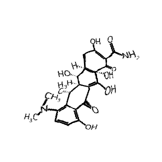 C[C@H]1c2c(N(C)C)ccc(O)c2C(=O)C2=C(O)[C@]3(O)C(=O)C(C(N)=O)=C(O)C[C@@H]3[C@@H](O)[C@@H]21